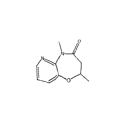 CC1CC(=O)N(C)c2ncccc2O1